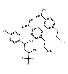 CCCc1ccc(C(=O)O)cc1.CCCc1ccc(C(=O)O)cc1.OC(CC(O)C(F)(F)F)c1ccc(Cl)cc1